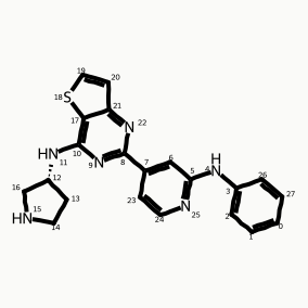 c1ccc(Nc2cc(-c3nc(N[C@@H]4CCNC4)c4sccc4n3)ccn2)cc1